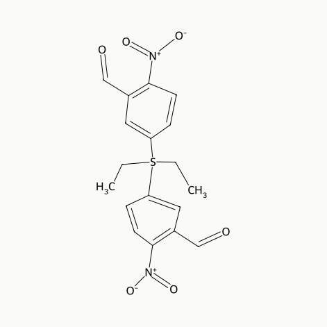 CCS(CC)(c1ccc([N+](=O)[O-])c(C=O)c1)c1ccc([N+](=O)[O-])c(C=O)c1